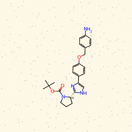 CC(C)(C)OC(=O)N1CCC[C@H]1c1nc(-c2ccc(OCc3ccc(N)cc3)cc2)c[nH]1